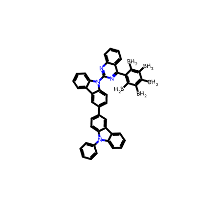 Bc1c(B)c(B)c(-c2nc(-n3c4ccccc4c4cc(-c5ccc6c(c5)c5ccccc5n6-c5ccccc5)ccc43)nc3ccccc23)c(B)c1B